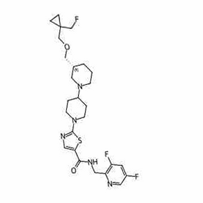 O=C(NCc1ncc(F)cc1F)c1cnc(N2CCC(N3CCC[C@@H](COCC4(CF)CC4)C3)CC2)s1